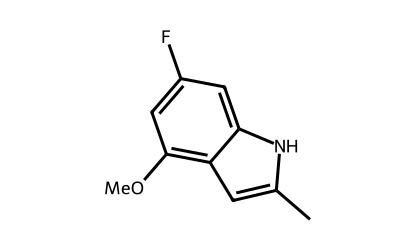 COc1cc(F)cc2[nH]c(C)cc12